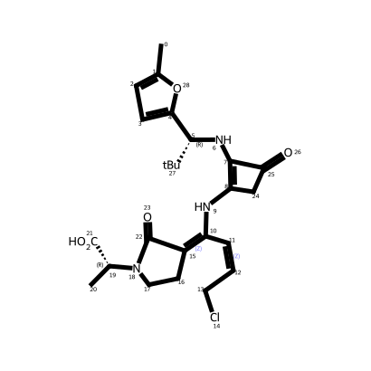 Cc1ccc([C@H](NC2=C(NC(/C=C\CCl)=C3/CCN([C@H](C)C(=O)O)C3=O)CC2=O)C(C)(C)C)o1